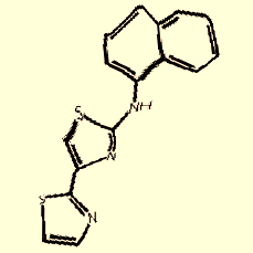 c1ccc2c(Nc3nc(-c4nccs4)cs3)cccc2c1